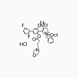 CCCCCCCC[N+]1(Cc2ccccc2)CCC2=C(C1)c1c(OC(=O)CCCN3CCOCC3)cc(-c3cc(F)ccc3F)cc1OC2(CC)CC.Cl